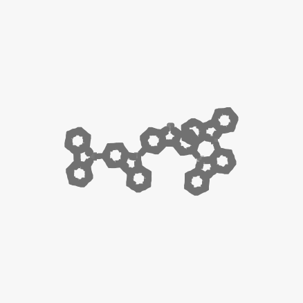 c1ccc2c(c1)c1ccccc1n2-c1ccc2c(c1)c1ccccc1n2-c1ccc2oc3ccc(-n4c5ccccc5c5cccc(-n6c7ccccc7c7ccccc76)c54)cc3c2c1